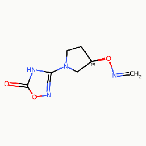 C=NO[C@@H]1CCN(c2noc(=O)[nH]2)C1